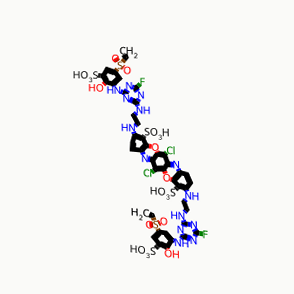 C=CS(=O)(=O)c1cc(Nc2nc(F)nc(NCCNc3ccc4c(c3S(=O)(=O)O)Oc3c(Cl)c5c(c(Cl)c3=N4)Oc3c(ccc(NCCNc4nc(F)nc(Nc6cc(S(=O)(=O)C=C)cc(S(=O)(=O)O)c6O)n4)c3S(=O)(=O)O)N=5)n2)c(O)c(S(=O)(=O)O)c1